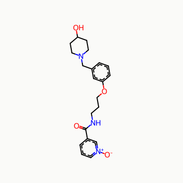 O=C(NCCCOc1cccc(CN2CCC(O)CC2)c1)c1ccc[n+]([O-])c1